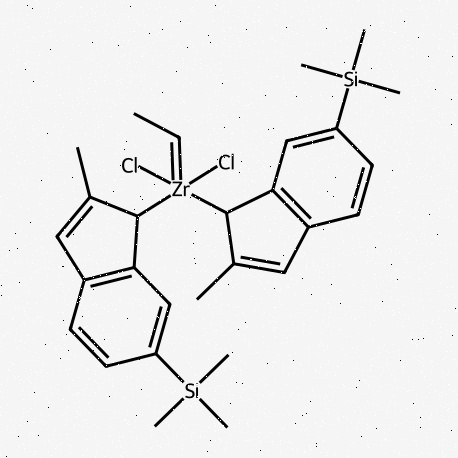 C[CH]=[Zr]([Cl])([Cl])([CH]1C(C)=Cc2ccc([Si](C)(C)C)cc21)[CH]1C(C)=Cc2ccc([Si](C)(C)C)cc21